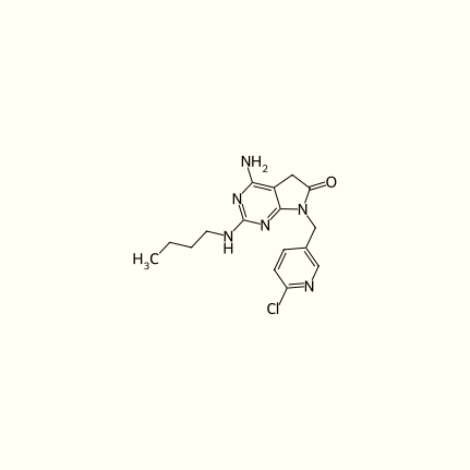 CCCCNc1nc(N)c2c(n1)N(Cc1ccc(Cl)nc1)C(=O)C2